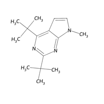 Cn1ccc2c(C(C)(C)C)nc(C(C)(C)C)nc21